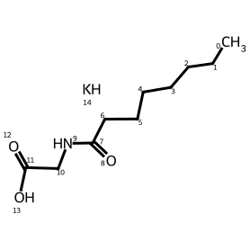 CCCCCCCC(=O)NCC(=O)O.[KH]